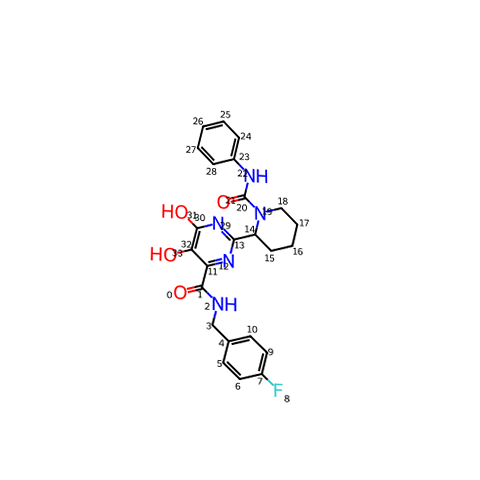 O=C(NCc1ccc(F)cc1)c1nc(C2CCCCN2C(=O)Nc2ccccc2)nc(O)c1O